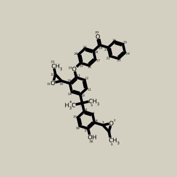 CC1OC1c1cc(C(C)(C)c2ccc(Oc3ccc(C(=O)c4ccccc4)cc3)c(C3OC3C)c2)ccc1O